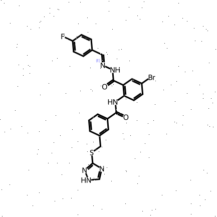 O=C(Nc1ccc(Br)cc1C(=O)N/N=C/c1ccc(F)cc1)c1cccc(CSc2nc[nH]n2)c1